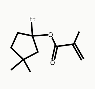 C=C(C)C(=O)OC1(CC)CCC(C)(C)C1